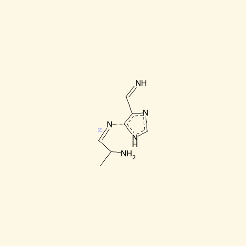 CC(N)/C=N\c1[nH]cnc1C=N